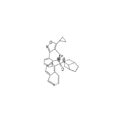 O=S(=O)(NC1C2CCC1CC(OCc1c(-c3ccccc3OC(F)(F)F)noc1C1CC1)C2)c1cccc2cnccc12